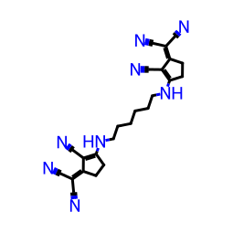 N#CC(C#N)=C1CCC(NCCCCCCNC2=C(C#N)C(=C(C#N)C#N)CC2)=C1C#N